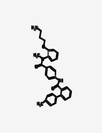 Cc1ccc(-c2ccccc2C(=O)Nc2ccc(C(=O)N(C)c3ccccc3OCCCN)cc2)cc1